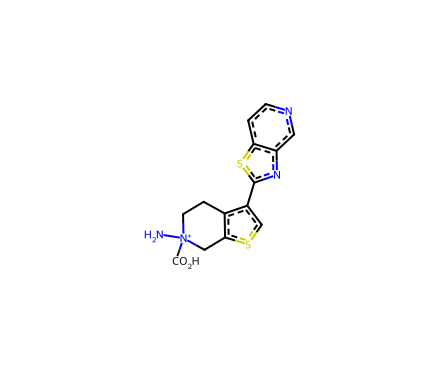 N[N+]1(C(=O)O)CCc2c(-c3nc4cnccc4s3)csc2C1